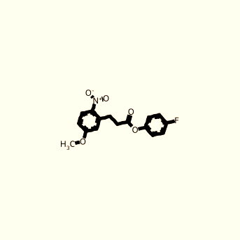 COc1ccc([N+](=O)[O-])c(CCC(=O)Oc2ccc(F)cc2)c1